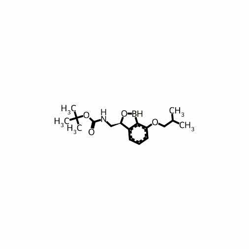 CC(C)COc1cccc2c1BO[C@@H]2CNC(=O)OC(C)(C)C